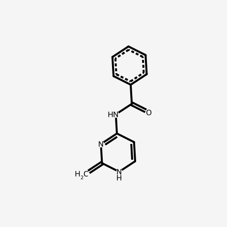 C=C1N=C(NC(=O)c2ccccc2)C=CN1